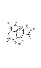 CNC(=O)/C(=C(\C=O)c1c(C)sc(C)c1C)c1c(C)sc(C)c1C